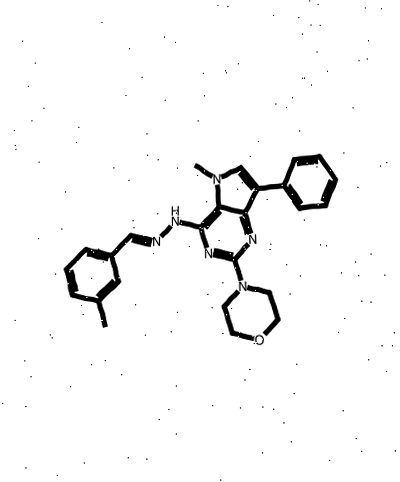 Cc1cccc(C=NNc2nc(N3CCOCC3)nc3c(-c4ccccc4)cn(C)c23)c1